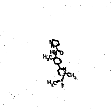 C=C/C(F)=C\c1ccc(-c2ccc(NC(=O)c3cccnn3)c(C)c2)nc1C